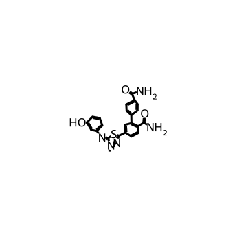 Cn1nc(-c2ccc(C(N)=O)c(-c3ccc(C(N)=O)cc3)c2)sc1=Nc1cccc(O)c1